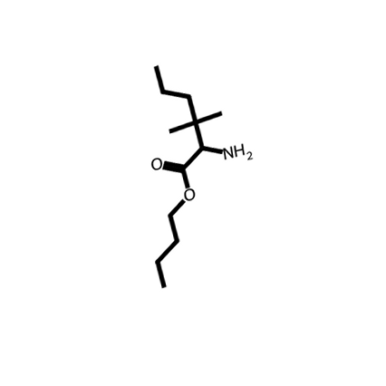 CCCCOC(=O)C(N)C(C)(C)CCC